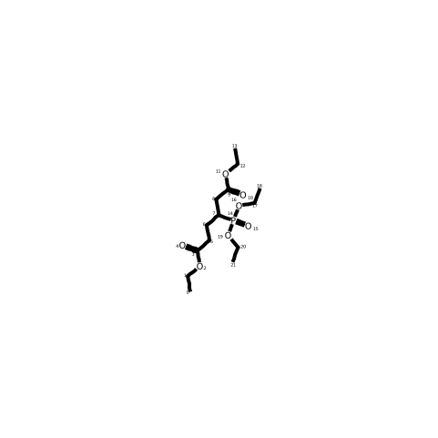 CCOC(=O)CCC(CC(=O)OCC)P(=O)(OCC)OCC